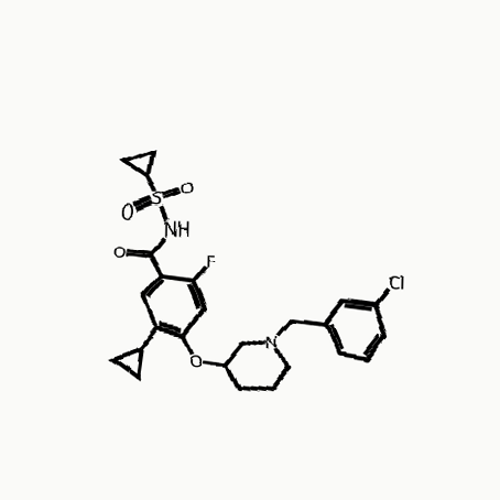 O=C(NS(=O)(=O)C1CC1)c1cc(C2CC2)c(OC2CCCN(Cc3cccc(Cl)c3)C2)cc1F